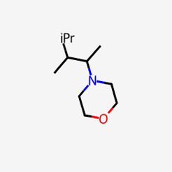 CC(C)C(C)C(C)N1CCOCC1